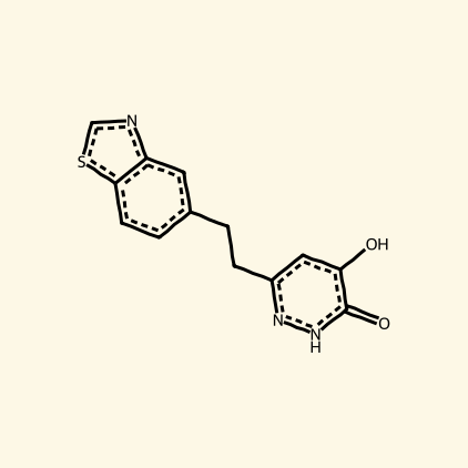 O=c1[nH]nc(CCc2ccc3scnc3c2)cc1O